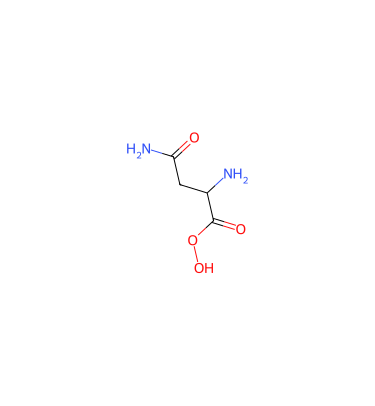 NC(=O)CC(N)C(=O)OO